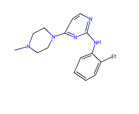 CCc1ccccc1Nc1nccc(N2CCN(C)CC2)n1